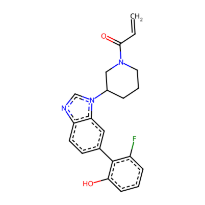 C=CC(=O)N1CCCC(n2cnc3ccc(-c4c(O)cccc4F)cc32)C1